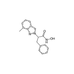 Cc1cccc2cn(C(Cc3ccccc3)C(=O)NO)nc12